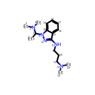 CCC(N(CC)CC)n1nc(NCCCN(CC)CC)c2ccccc21